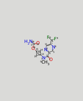 CN(C(=O)c1cnc(C(F)F)cn1)C12CC(OC(N)=O)(C1)C2